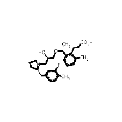 Cc1ccc(C[C@@H]2CCCN2C[C@@H](O)CO[C@H](C)c2cccc(C)c2CCC(=O)O)cc1F